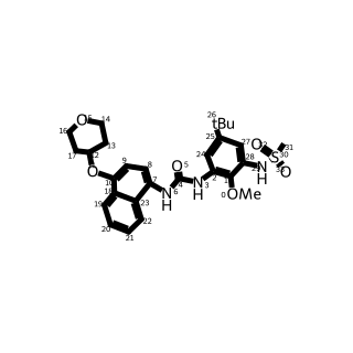 COc1c(NC(=O)Nc2ccc(OC3CCOCC3)c3ccccc23)cc(C(C)(C)C)cc1NS(C)(=O)=O